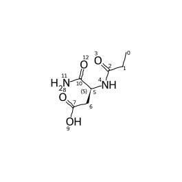 CCC(=O)N[C@@H](CC(=O)O)C(N)=O